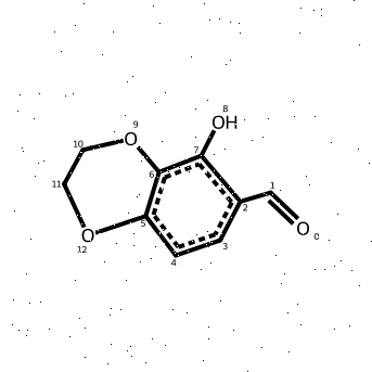 O=Cc1ccc2c(c1O)OCCO2